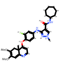 COC1=C(OC)CC2(C)C(=C1)N=CC=C2Oc1ccc(Nc2nn(C)cc2C(=O)NC2CCCCCC2)cc1F